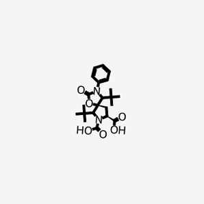 CC(C)(C)C1N(c2ccccc2)C(=O)O[C@]12C[C@@H](C(=O)O)N(C(=O)O)C2C(C)(C)C